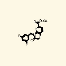 COC(=O)c1ccc2c(n1)N(Cc1cc(F)cc(F)c1)C(=O)CS2